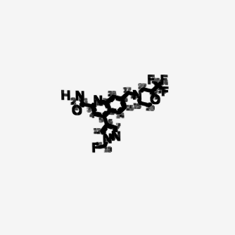 NC(=O)c1cc(-c2cnn(CF)c2)c2ccc(CN3CCOC(C(F)(F)F)C3)cc2n1